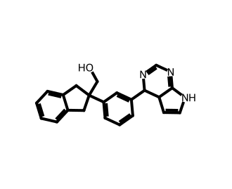 OCC1(c2cccc(C3N=CN=C4NC=CC43)c2)Cc2ccccc2C1